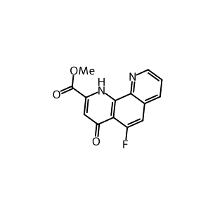 COC(=O)c1cc(=O)c2c(F)cc3cccnc3c2[nH]1